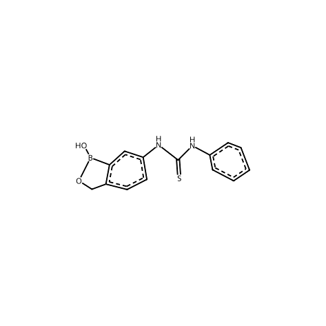 OB1OCc2ccc(NC(=S)Nc3ccccc3)cc21